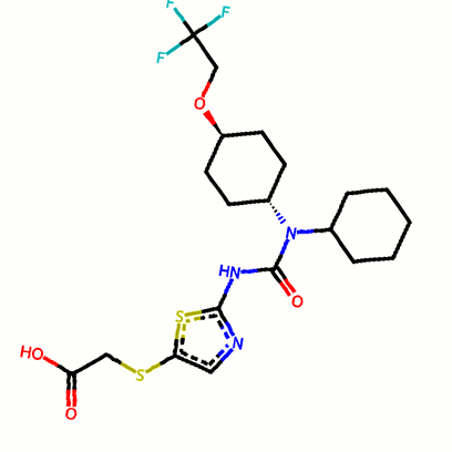 O=C(O)CSc1cnc(NC(=O)N(C2CCCCC2)[C@H]2CC[C@H](OCC(F)(F)F)CC2)s1